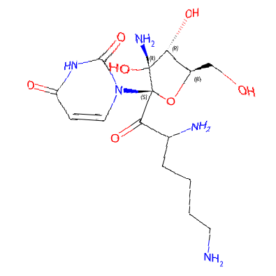 NCCCCC(N)C(=O)[C@@]1(n2ccc(=O)[nH]c2=O)O[C@H](CO)[C@@H](O)[C@@]1(N)O